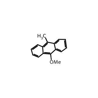 COc1c2ccccc2c(C)c2ccccc12